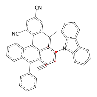 C#C/C=C(\C=C(/C)c1cc(C#N)cc(C#N)c1-c1c2ccccc2c(-c2ccccc2)c2ccccc12)n1c2ccccc2c2ccccc21